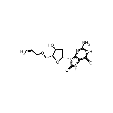 C=CCOC[C@H]1O[C@@H](n2c(=O)[nH]c3c(=O)[nH]c(N)nc32)C[C@@H]1O